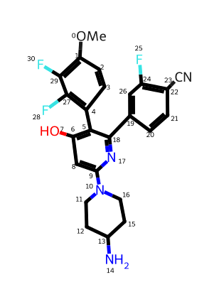 COc1ccc(-c2c(O)cc(N3CCC(N)CC3)nc2-c2ccc(C#N)c(F)c2)c(F)c1F